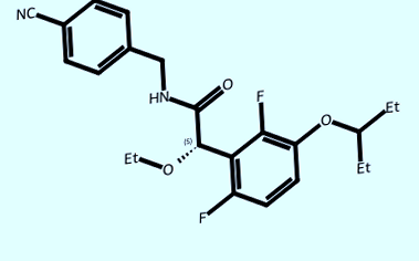 CCO[C@H](C(=O)NCc1ccc(C#N)cc1)c1c(F)ccc(OC(CC)CC)c1F